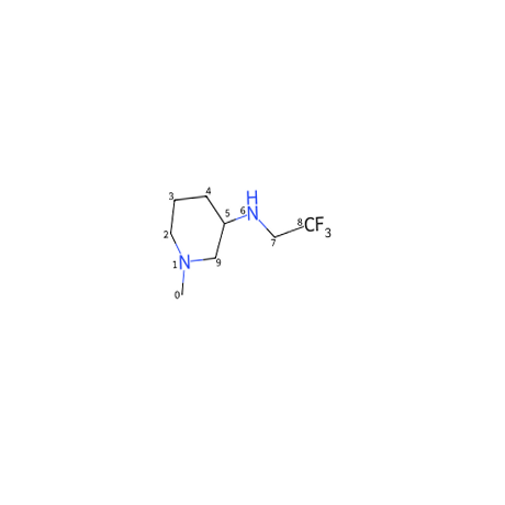 CN1CCCC(NCC(F)(F)F)C1